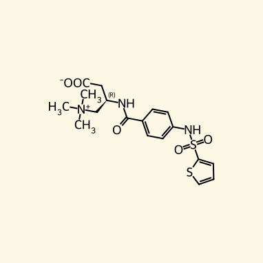 C[N+](C)(C)C[C@@H](CC(=O)[O-])NC(=O)c1ccc(NS(=O)(=O)c2cccs2)cc1